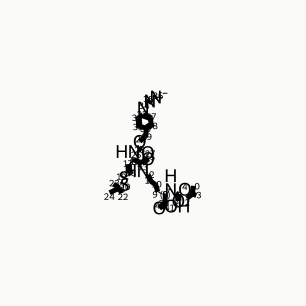 CC(C)(C)OC(=O)N[C@@H](CCCCNC(=O)[C@H](CCSSC(C)(C)C)NC(=O)OCc1ccc(N=[N+]=[N-])cc1)C(=O)O